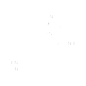 N#C[C@H](Cc1ccc(-c2ccc3cn[nH]c3c2)cc1)NC(=O)C1CNCO1